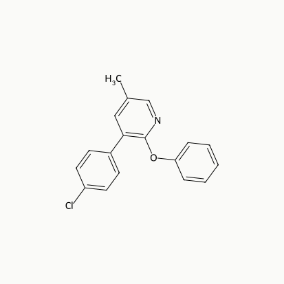 Cc1cnc(Oc2ccccc2)c(-c2ccc(Cl)cc2)c1